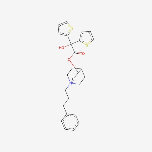 O=C(OC1C[N+]2(CCCc3ccccc3)CCC1CC2)C(O)(c1cccs1)c1cccs1